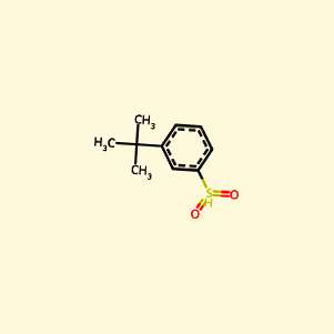 CC(C)(C)c1cccc([SH](=O)=O)c1